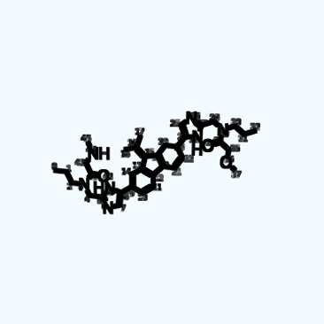 CCCN(Cc1ncc(-c2ccc3c(c2)C(=C(C)C)C2=C3C=CC(c3cnc(CN(CCC)C(=O)COC)[nH]3)C2)[nH]1)C(=O)CNC